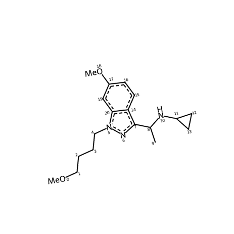 COCCCCn1nc(C(C)NC2CC2)c2ccc(OC)cc21